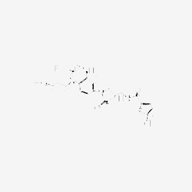 Nc1cc(N2CC(CNC(=O)c3ccc(Cl)s3)OC2=O)ccc1N(CCCO)C(=O)C(F)(F)F